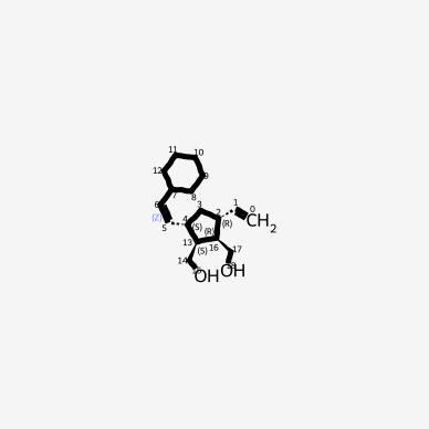 C=C[C@H]1C[C@@H](/C=C\C2CCCCC2)[C@H](CO)[C@@H]1CO